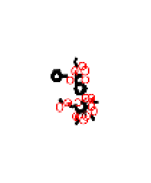 CCC(=O)Oc1c(OCc2ccccc2)c2ccc(O[C@@H]3O[C@H](COC(C)=O)[C@H](OC(C)=O)[C@H](OC(C)=O)[C@H]3OC(C)=O)cc2oc1=O